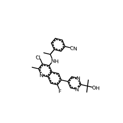 Cc1nc2cc(F)c(-c3cnc(C(C)(C)O)nc3)cc2c(NC(C)c2cccc(C#N)c2)c1Cl